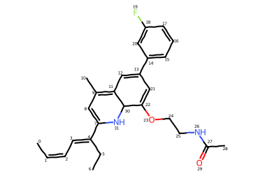 C/C=C\C=C(/CC)C1=CC(C)=C2C=C(c3cccc(F)c3)C=C(OCCNC(C)=O)C2N1